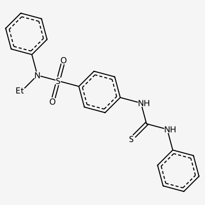 CCN(c1ccccc1)S(=O)(=O)c1ccc(NC(=S)Nc2ccccc2)cc1